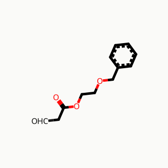 O=CCC(=O)OCCOCc1ccccc1